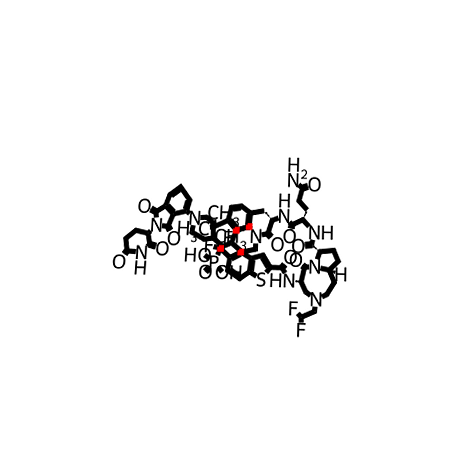 CC(C)(C)c1ccc(C[C@H](NC(=O)[C@H](CCC(N)=O)NC(=O)[C@@H]2CC[C@@H]3CCN(CC(F)F)C[C@H](NC(=O)c4cc5cc(C(F)(F)P(=O)(O)O)ccc5s4)C(=O)N32)C(=O)N2CCC(CC3CCN(c4cccc5c4C(=O)N(C4CCC(=O)NC4=O)C5=O)CC3)CC2)cc1